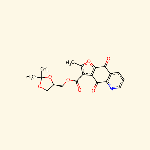 Cc1oc2c(c1C(=O)OC[C@H]1COC(C)(C)O1)C(=O)c1ncccc1C2=O